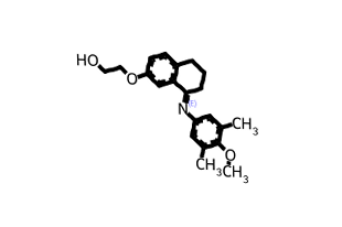 COc1c(C)cc(/N=C2\CCCc3ccc(OCCO)cc32)cc1C